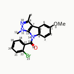 COc1ccc2c(c1)c1c(C)nn(C)c1n2C(=O)c1ccccc1Br